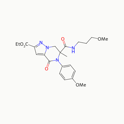 CCOC(=O)c1cc2n(n1)CC(C)(C(=O)NCCCOC)N(c1ccc(OC)cc1)C2=O